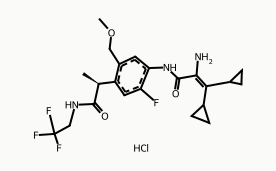 COCc1cc(NC(=O)C(N)=C(C2CC2)C2CC2)c(F)cc1[C@H](C)C(=O)NCC(F)(F)F.Cl